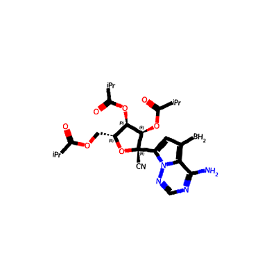 Bc1cc([C@]2(C#N)O[C@H](COC(=O)C(C)C)[C@@H](OC(=O)C(C)C)[C@H]2OC(=O)C(C)C)n2ncnc(N)c12